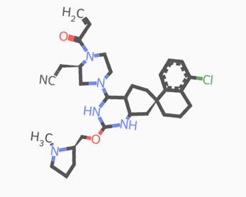 C=CC(=O)N1CCN(C2NC(OC[C@H]3CCCN3C)NC3C[C@@]4(CCCc5c(Cl)cccc54)CCC32)C[C@H]1CC#N